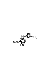 CNc1nc(Nc2cnn(C)c2)ncc1C#N